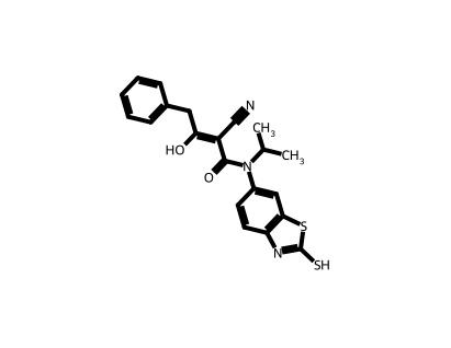 CC(C)N(C(=O)C(C#N)=C(O)Cc1ccccc1)c1ccc2nc(S)sc2c1